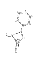 C[CH]1C(c2ccccc2)=[CH][BiH]1=[O]